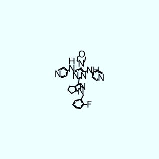 Fc1ccccc1Cn1nc(-c2nc(Nc3ccncc3)c(N3CCOCC3)c(Nc3ccncc3)n2)c2c1CCC2